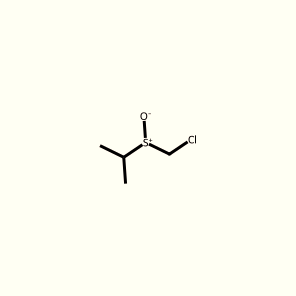 CC(C)[S+]([O-])CCl